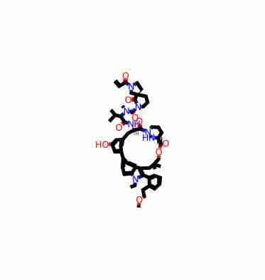 C=CC(=O)N1CC[C@@]2(CCCN(C(=O)N(C)C(C(=O)N[C@H]3Cc4cc(O)cc(c4)-c4ccc5c(c4)c(c(-c4ccccc4CCOC)n5CC)CC(C)(C)COC(=O)[C@@H]4CCCN(N4)C3=O)C(C)C)C2=O)C1